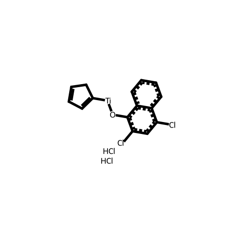 Cl.Cl.Clc1cc(Cl)c2ccccc2c1[O][Ti][C]1=CC=CC1